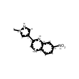 Cn1cc(-c2cnc3ccc([N+](=O)[O-])cc3n2)cn1